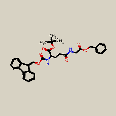 CC(C)(C)OC(=O)C(CCC(=O)NCC(=O)OCc1ccccc1)NC(=O)OCC1c2ccccc2-c2ccccc21